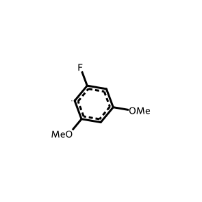 COc1[c]c(F)cc(OC)c1